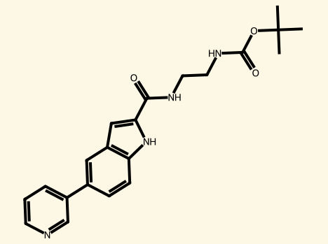 CC(C)(C)OC(=O)NCCNC(=O)c1cc2cc(-c3cccnc3)ccc2[nH]1